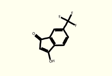 O=C1C=C(O)c2ccc(C(F)(F)F)cc21